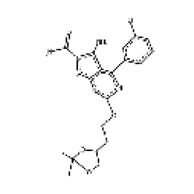 CC1(C)OCC(CCOc2nc(-c3cccc(Cl)c3)c3c(N)c(C(N)=O)sc3n2)O1